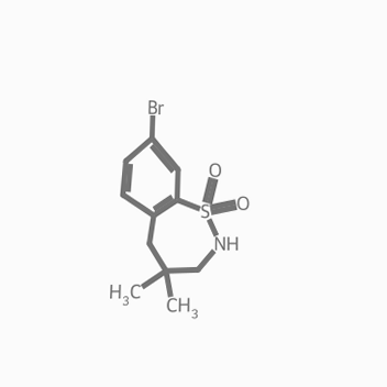 CC1(C)CNS(=O)(=O)c2cc(Br)ccc2C1